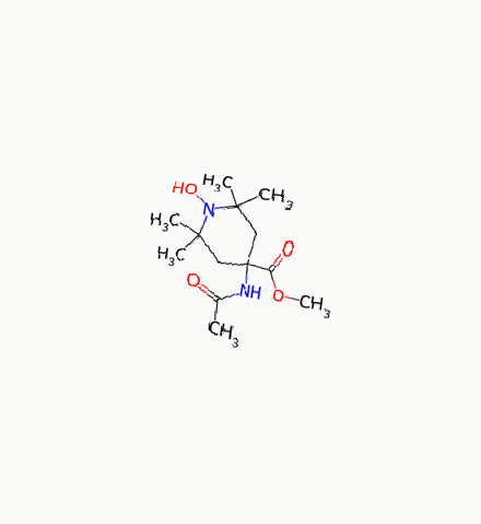 COC(=O)C1(NC(C)=O)CC(C)(C)N(O)C(C)(C)C1